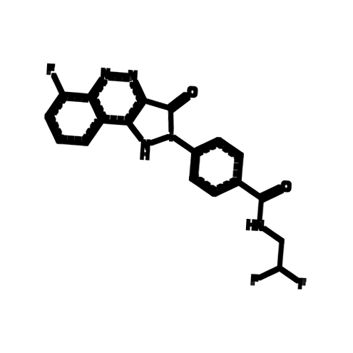 O=C(NCC(F)F)c1ccc(I2Nc3c(nnc4c(F)cccc34)C2=O)cc1